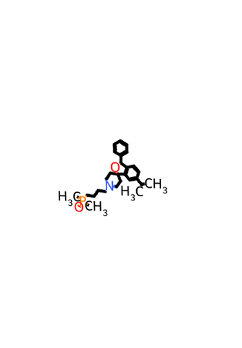 CC(C)c1ccc2c(c1)C1(CCN(CCCCP(C)(C)=O)CC1)OC2c1ccccc1